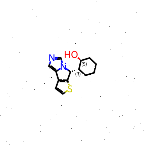 O[C@H]1CCCC[C@@H]1C1c2sccc2-c2cncn21